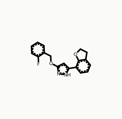 Fc1ccccc1COc1cc(-c2cccc3c2OCC3)[nH]n1